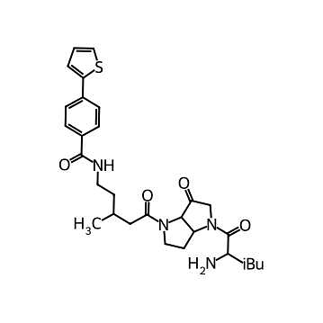 CCC(C)C(N)C(=O)N1CC(=O)C2C1CCN2C(=O)CC(C)CCNC(=O)c1ccc(-c2cccs2)cc1